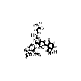 C=CS(=O)(=O)N1CCN(c2nc(NCCC(=O)N(C)C)nc3c2COC(c2c(C)ccc4[nH]ncc24)C3)C[C@@H]1CC#N